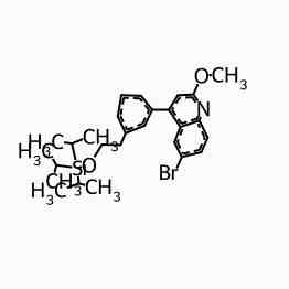 COc1cc(-c2cccc(CCO[Si](C(C)C)(C(C)C)C(C)C)c2)c2cc(Br)ccc2n1